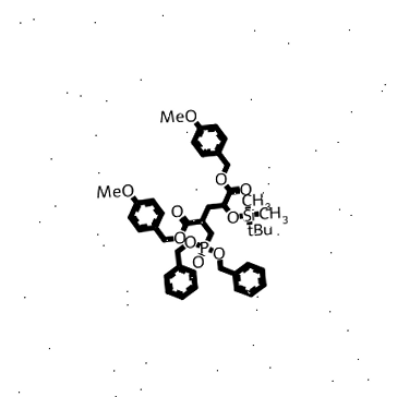 COc1ccc(COC(=O)C(CC(O[Si](C)(C)C(C)(C)C)C(=O)OCc2ccc(OC)cc2)CP(=O)(OCc2ccccc2)OCc2ccccc2)cc1